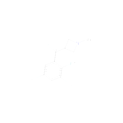 CCCN1CC(C(F)c2cc(F)cc(F)c2F)C1